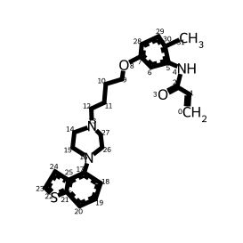 C=CC(=O)Nc1cc(OCCCCN2CCN(c3cccc4sccc34)CC2)ccc1C